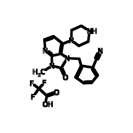 Cn1c(=O)n(Cc2ccccc2C#N)c2c(N3CCNCC3)ccnc21.O=C(O)C(F)(F)F